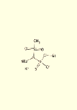 CCCCN(P([O-])(=S)OCC)S(C)(=O)=O.[K+]